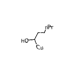 CCCCC[CH](O)[Cu]